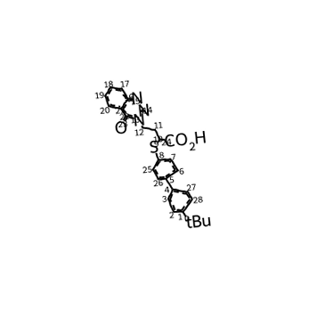 CC(C)(C)c1ccc(-c2ccc(SC(CCn3nnc4ccccc4c3=O)C(=O)O)cc2)cc1